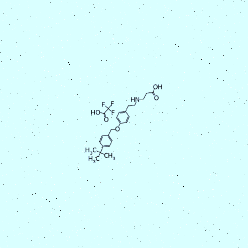 CC(C)(C)c1ccc(COc2ccc(CCNCCC(=O)O)cc2)cc1.O=C(O)C(F)(F)F